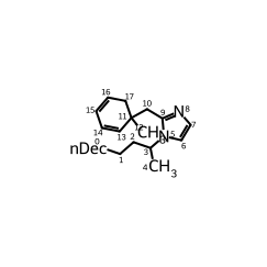 CCCCCCCCCCCCC(C)n1ccnc1CC1(C)C=CC=CC1